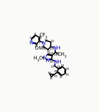 COc1nccc(C(F)(F)F)c1N1CCC(NC(C)c2cn(C)nc2NCc2ccccc2C2CC2)CC1